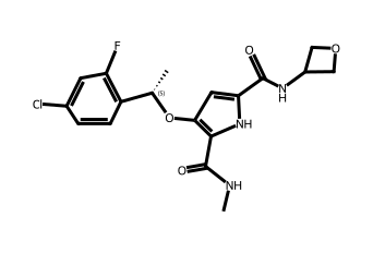 CNC(=O)c1[nH]c(C(=O)NC2COC2)cc1O[C@@H](C)c1ccc(Cl)cc1F